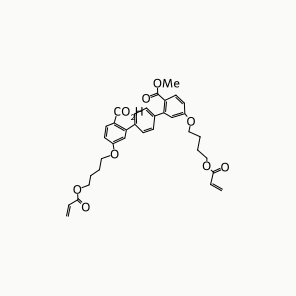 C=CC(=O)OCCCCOc1ccc(C(=O)O)c(-c2ccc(-c3cc(OCCCCOC(=O)C=C)ccc3C(=O)OC)cc2)c1